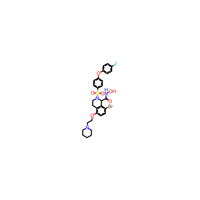 O=C(NO)C1c2c(Br)ccc(OCCN3CCCCC3)c2CCN1S(=O)(=O)c1ccc(Oc2ccc(F)cc2)cc1